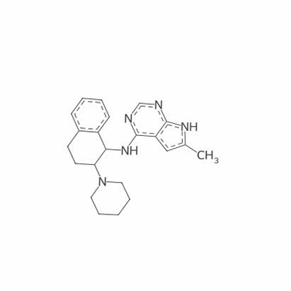 Cc1cc2c(NC3c4ccccc4CCC3N3CCCCC3)ncnc2[nH]1